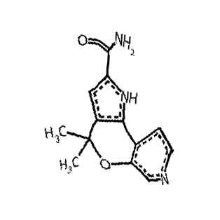 CC1(C)Oc2cnccc2-c2[nH]c(C(N)=O)cc21